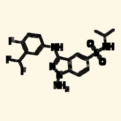 CC(C)NS(=O)(=O)c1ccc2c(c1)c(Nc1ccc(F)c(C(F)F)c1)nn2N